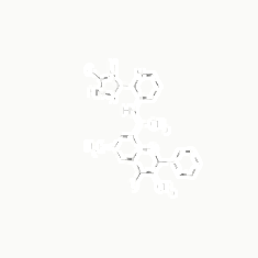 Cc1cc(C(C)Nc2cccnc2-c2n[nH]c(=O)[nH]2)c2oc(-c3ccccc3)c(C)c(=O)c2c1